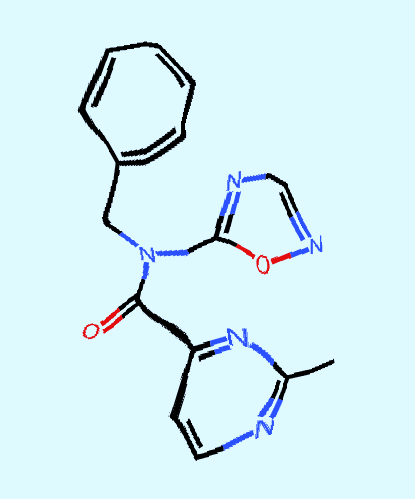 Cc1nccc(C(=O)N(Cc2ccccc2)c2ncno2)n1